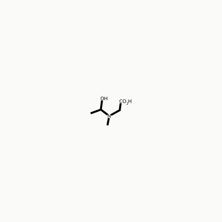 CC(O)N(C)CC(=O)O